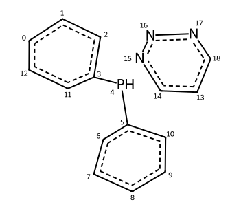 c1ccc(Pc2ccccc2)cc1.c1cnnnc1